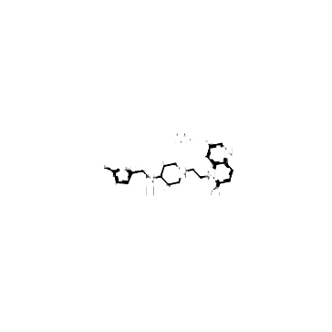 COc1cnc2ccc(=O)n(CCN3CCC(NCc4ccc(Cl)s4)CC3)c2c1